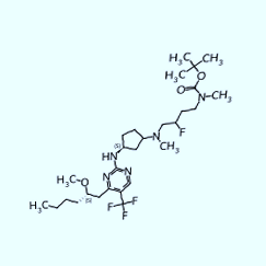 CCCC[C@@H](Cc1nc(N[C@H]2CCC(N(C)CC(F)CCN(C)C(=O)OC(C)(C)C)C2)ncc1C(F)(F)F)OC